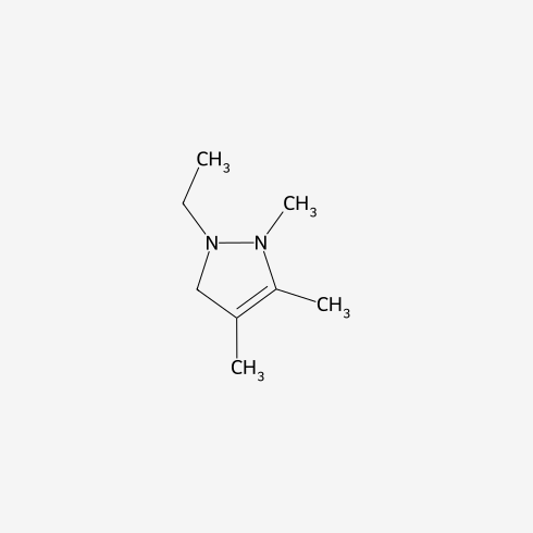 CCN1CC(C)=C(C)N1C